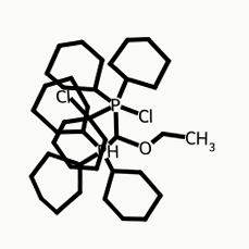 CCOC([PH](C1CCCCC1)(C1CCCCC1)C1CCCCC1)P(Cl)(C1CCCCC1)(C1CCCCC1)C1(Cl)CCCCC1